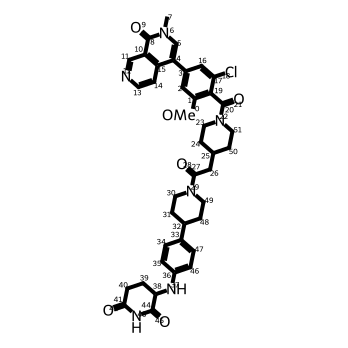 COc1cc(-c2cn(C)c(=O)c3cnccc23)cc(Cl)c1C(=O)N1CCC(CC(=O)N2CCC(c3ccc(NC4CCC(=O)NC4=O)cc3)CC2)CC1